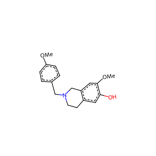 COc1ccc(CN2CCc3cc(O)c(OC)cc3C2)cc1